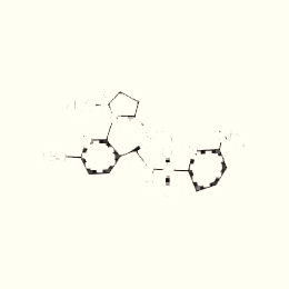 C[C@@H]1CC[C@H](C)N1c1nc(C(C)(C)C)ccc1C(=O)NS(=O)(=O)c1cccc(N)n1